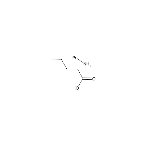 CC(C)N.CCCCC(=O)O